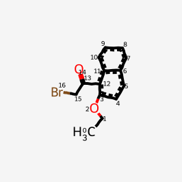 CCOc1ccc2ccccc2c1C(=O)CBr